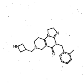 Cc1ccccc1CN1C(=O)C2=C(CCN(CC3CNC3)C2)N2CCN=C12